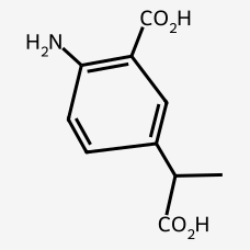 CC(C(=O)O)c1ccc(N)c(C(=O)O)c1